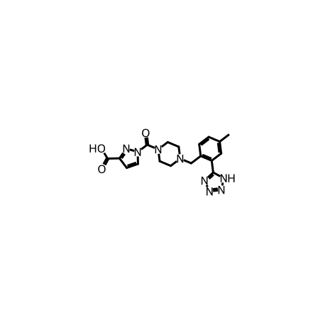 Cc1ccc(CN2CCN(C(=O)n3ccc(C(=O)O)n3)CC2)c(-c2nnn[nH]2)c1